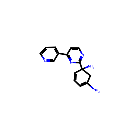 NC1=CC=CC(N)(c2nccc(-c3cccnc3)n2)C1